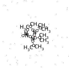 Cc1cc(C)cc(-c2ccc3c(c2)c2cc(-c4cc(C)cc(C)c4)ccc2n3-c2cccc(-c3cc(-c4cc(-c5ccccc5)nc(-c5ccccc5)n4)ccc3-n3c4ccc(-c5cc(C)cc(C)c5)cc4c4cc(-c5cc(C)cc(C)c5)ccc43)c2)c1